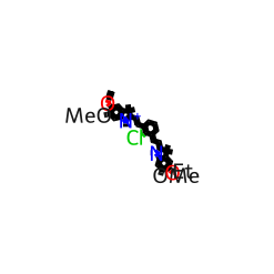 C#COc1cc2c(cc1OC)[N+](C)=C(/C=C/C1=C(Cl)C(=C/C=C3\N(C)c4cc(OC)c(OCC)cc4C3(C)C)/CCC1)C2(C)C